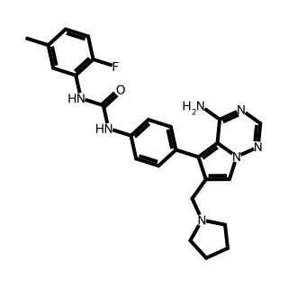 Cc1ccc(F)c(NC(=O)Nc2ccc(-c3c(CN4CCCC4)cn4ncnc(N)c34)cc2)c1